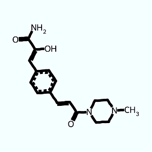 CN1CCN(C(=O)/C=C/c2ccc(C=C(O)C(N)=O)cc2)CC1